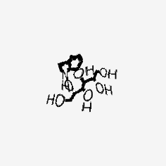 O=C(CO)C(O)C(O)C(O)CO.c1ccc2[nH]ccc2c1